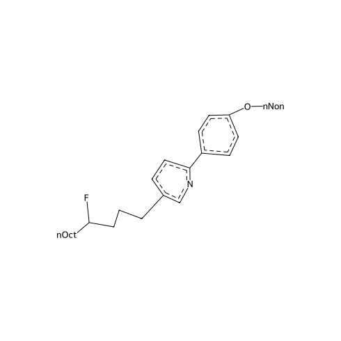 CCCCCCCCCOc1ccc(-c2ccc(CCCC(F)CCCCCCCC)cn2)cc1